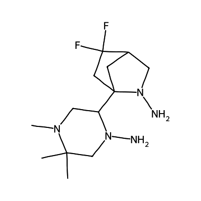 CN1CC(C23CC(CN2N)C(F)(F)C3)N(N)CC1(C)C